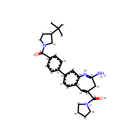 CC(C)(C)C1CCN(C(=O)c2ccc(-c3ccc4c(c3)N=C(N)CC(C(=O)N3CCCC3)=C4)cc2)C1